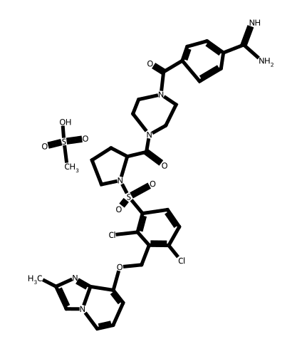 CS(=O)(=O)O.Cc1cn2cccc(OCc3c(Cl)ccc(S(=O)(=O)N4CCCC4C(=O)N4CCN(C(=O)c5ccc(C(=N)N)cc5)CC4)c3Cl)c2n1